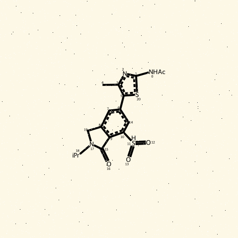 CC(=O)Nc1nc(C)c(-c2cc3c(c([SH](=O)=O)c2)C(=O)N(C(C)C)C3)s1